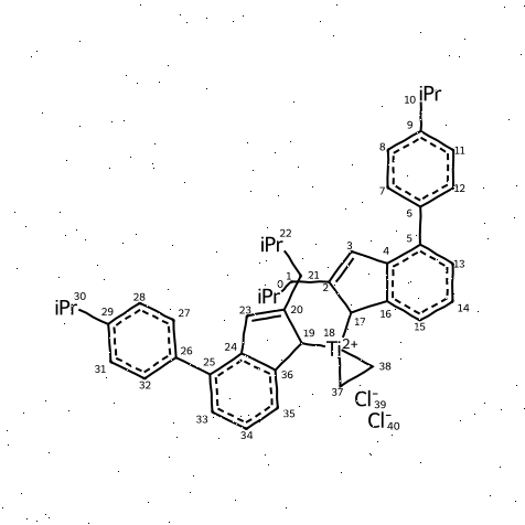 CC(C)CC1=Cc2c(-c3ccc(C(C)C)cc3)cccc2[CH]1[Ti+2]1([CH]2C(CC(C)C)=Cc3c(-c4ccc(C(C)C)cc4)cccc32)[CH2][CH2]1.[Cl-].[Cl-]